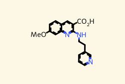 COc1ccc2cc(C(=O)O)c(NCCc3cccnc3)nc2c1